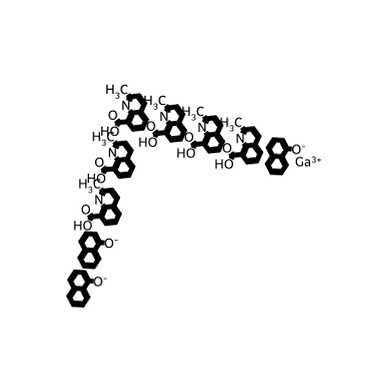 Cc1ccc2cccc(C(=O)O)c2n1.Cc1ccc2cccc(C(=O)O)c2n1.Cc1ccc2cccc(C(=O)O)c2n1.Cc1ccc2cccc(C(=O)O)c2n1.Cc1ccc2cccc(C(=O)O)c2n1.Cc1ccc2cccc(C(=O)O)c2n1.[Ga+3].[O-]c1cccc2ccccc12.[O-]c1cccc2ccccc12.[O-]c1cccc2ccccc12